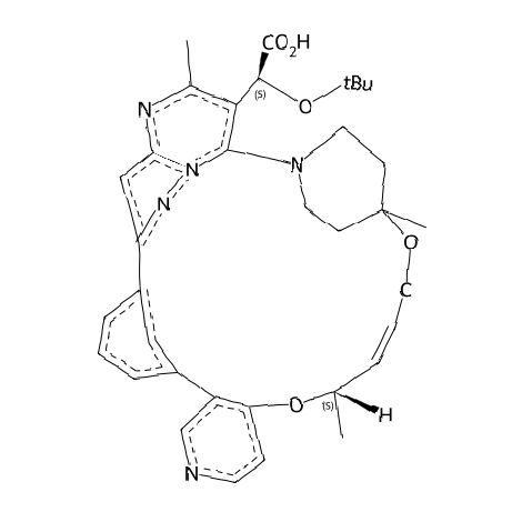 Cc1nc2cc3nn2c(c1[C@H](OC(C)(C)C)C(=O)O)N1CCC(C)(CC1)OCC=C[C@H](C)Oc1ccncc1-c1cccc-3c1